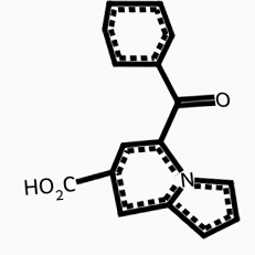 O=C(O)c1cc(C(=O)c2ccccc2)n2cccc2c1